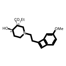 CCOC(=O)[C@@H]1CN(CCC2=Cc3ccc(OC)cc32)CC[C@H]1O